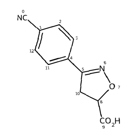 N#Cc1ccc(C2=NOC(C(=O)O)C2)cc1